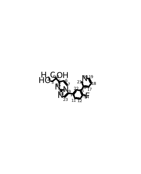 CC(O)(CO)c1ccn2c(-c3ccc(F)c(-c4cccnc4)c3)cnc2n1